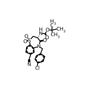 CC(C)(C)OC(=O)N[C@H]1CS(=O)(=O)c2ccc(C#N)cc2N(Cc2ccc(Cl)cc2)C1=O